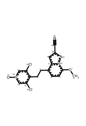 COc1ccc(CCc2c(Cl)c[n+]([O-])cc2Cl)c2cc(C#N)nn12